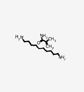 C=C(C)C(N)=O.NCCCCCCCCCCN